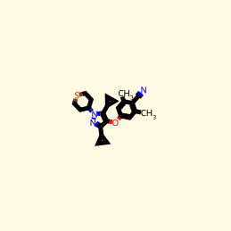 Cc1cc(Oc2c(C3CC3)nn(C3CCSCC3)c2C2CC2)cc(C)c1C#N